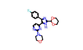 Fc1ccc(-c2nc(C3OCCCO3)[nH]c2-c2ccnc(N3CCOCC3)n2)cc1